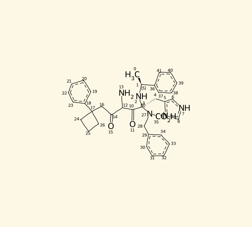 C[C@H](N[C@](Cc1c[nH]cn1)(C(=O)C(N)C(=O)CC1(c2ccccc2)CCC1)N(Cc1ccccc1)C(=O)O)c1ccccc1